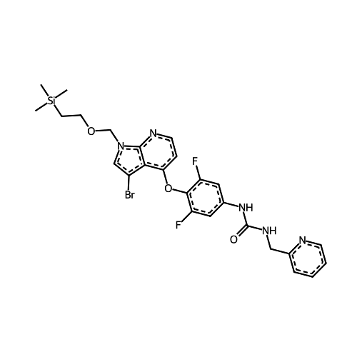 C[Si](C)(C)CCOCn1cc(Br)c2c(Oc3c(F)cc(NC(=O)NCc4ccccn4)cc3F)ccnc21